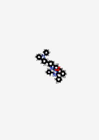 c1ccc(-c2nc(-c3ccccc3-n3c4ccccc4c4ccc(-c5ccc6c7ccccc7n(-c7ccccc7)c6c5)cc43)nc3ccc4ccccc4c23)cc1